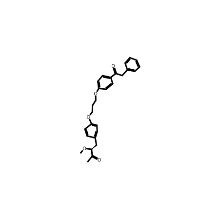 CO[C@@H](Cc1ccc(OCCCOc2ccc(C(=O)Cc3ccccc3)cc2)cc1)C(C)=O